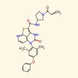 C=CC(=O)N1CCC(NC(=O)c2sc3nccc4c3c2NC(=O)N4c2c(C)cc(Oc3ccccc3)cc2C)C1